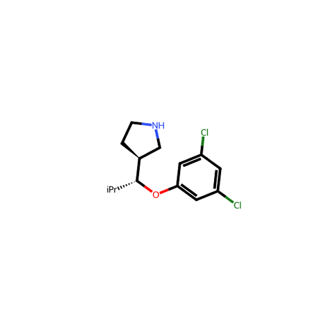 CC(C)[C@@H](Oc1cc(Cl)cc(Cl)c1)[C@H]1CCNC1